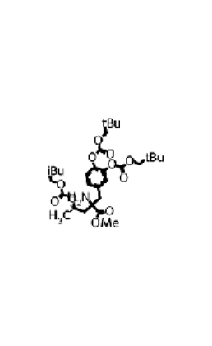 CCC(C)COC(=O)O[C@@H](C)CC(N)(Cc1ccc(OC(=O)OCC(C)(C)C)c(OC(=O)OCC(C)(C)C)c1)C(=O)OC